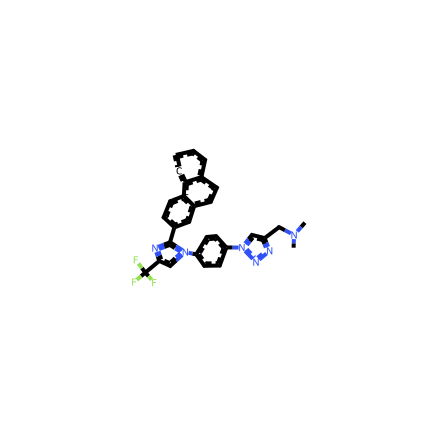 CN(C)Cc1cn(-c2ccc(-n3cc(C(F)(F)F)nc3-c3ccc4c(ccc5ccccc54)c3)cc2)nn1